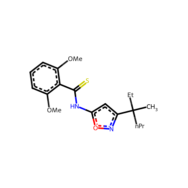 CCCC(C)(CC)c1cc(NC(=S)c2c(OC)cccc2OC)on1